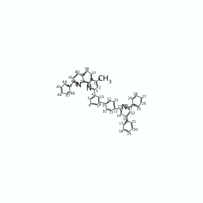 Cc1cc(-c2cccc(-c3ccc(-c4cc(-c5ccccc5)cc(-c5ccccc5)n4)cc3)c2)nc2c1ccc1ccc(-c3ccccc3)nc12